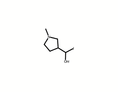 CN1CCC(C(O)I)C1